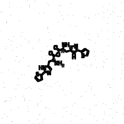 N[C@@H](Cc1cnc(-c2cccs2)[nH]1)C(=O)OC(=O)[C@@H](N)Cc1cnc(-c2cccs2)[nH]1